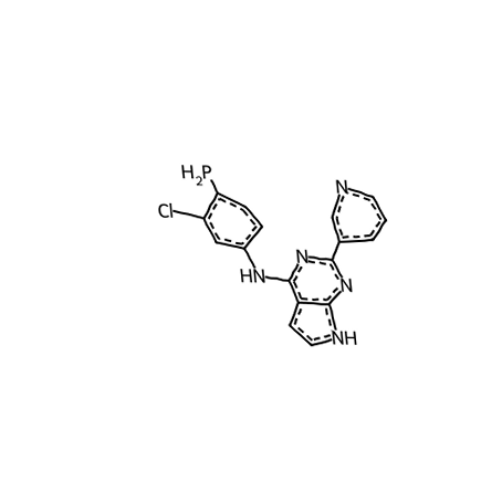 Pc1ccc(Nc2nc(-c3cccnc3)nc3[nH]ccc23)cc1Cl